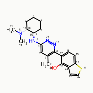 Cc1cc(N[C@H]2CCCC[C@H]2N(C)C)nnc1-c1ccc2sccc2c1O